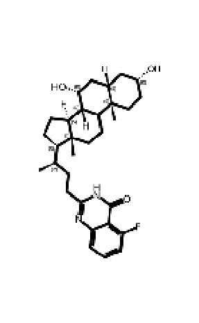 C[C@H](CCc1nc2cccc(F)c2c(=O)[nH]1)[C@H]1CC[C@H]2[C@H]3C(CC[C@]12C)[C@@]1(C)CC[C@@H](O)C[C@H]1C[C@H]3O